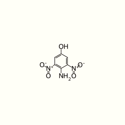 Nc1c([N+](=O)[O-])cc(O)cc1[N+](=O)[O-]